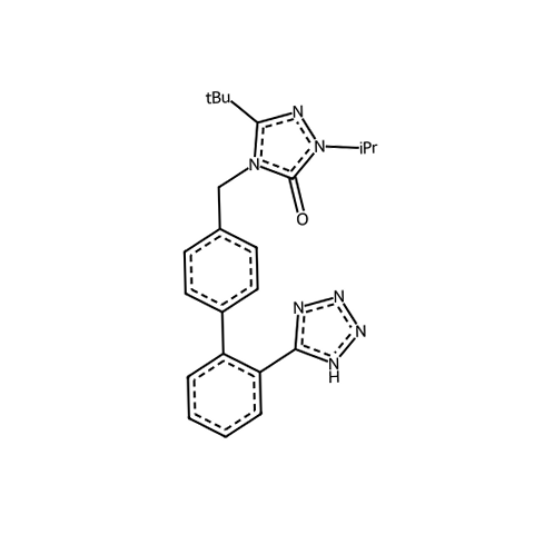 CC(C)n1nc(C(C)(C)C)n(Cc2ccc(-c3ccccc3-c3nnn[nH]3)cc2)c1=O